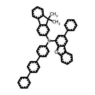 CC1(C)c2ccccc2-c2ccc(N(c3ccc(-c4ccc(-c5ccccc5)cc4)cc3)c3cc(-c4ccccc4)cc4c3oc3ccccc34)cc21